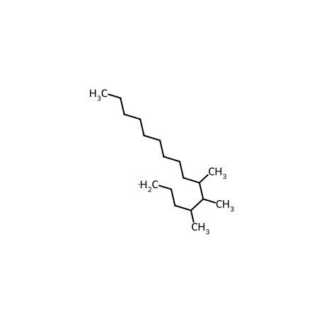 [CH2]CCC(C)C(C)C(C)CCCCCCCCC